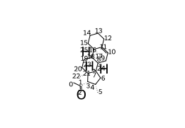 CC(=O)[C@H]1[C@@H](C)C[C@H]2[C@@H]3CC=C4CCCC[C@]4(C)[C@H]3CC[C@@]21C